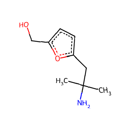 CC(C)(N)Cc1ccc(CO)o1